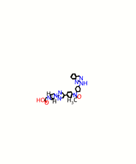 CC(=O)N(c1ccc(-c2cnc(N3C[C@@H]4C[C@H]3CN4CC(=O)O)nc2)cc1)C1CCC(Nc2ncc3ccccc3n2)CC1